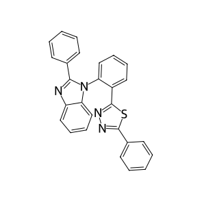 c1ccc(-c2nnc(-c3ccccc3-n3c(-c4ccccc4)nc4ccccc43)s2)cc1